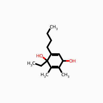 CCCCC1=CC(O)C(C)=C(C)C1(O)CC